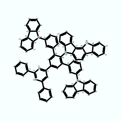 c1ccc(-c2cc(-c3cc(-c4cccc(-n5c6ccccc6c6ccccc65)c4)c(-n4c5ccccc5c5c6oc7ccccc7c6ccc54)c(-c4cccc(-n5c6ccccc6c6ccccc65)c4)c3)nc(-c3ccccc3)n2)cc1